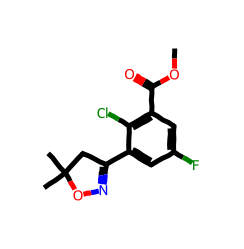 COC(=O)c1cc(F)cc(C2=NOC(C)(C)C2)c1Cl